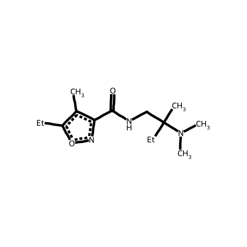 CCc1onc(C(=O)NCC(C)(CC)N(C)C)c1C